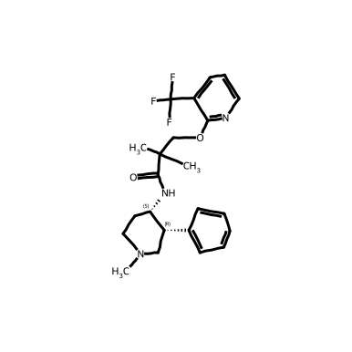 CN1CC[C@H](NC(=O)C(C)(C)COc2ncccc2C(F)(F)F)[C@H](c2ccccc2)C1